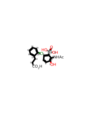 CC(=O)Nc1c(O)cccc1[As](=O)(O)O.O=C(O)CCc1ccccc1Cl